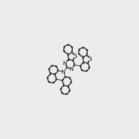 c1ccc2c3c(ccc2c1)N(c1nc(-c2cccc4sc5ccccc5c24)c2sc4ccccc4c2n1)c1cccc2cccc-3c12